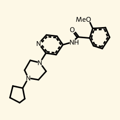 COc1ccccc1C(=O)Nc1ccnc(N2CCN(C3CCCC3)CC2)c1